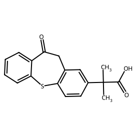 CC(C)(C(=O)O)c1ccc2c(c1)CC(=O)c1ccccc1S2